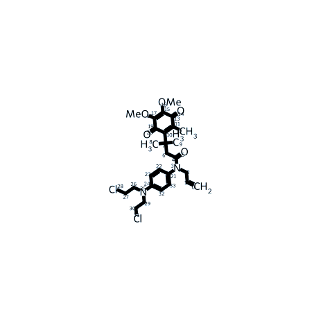 C=CCN(C(=O)CC(C)(C)C1=C(C)C(=O)C(OC)=C(OC)C1=O)c1ccc(N(CCCl)CCCl)cc1